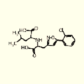 CC(C)CC(NC(Cc1cc(-c2ccccc2Cl)on1)C(=O)O)C(=O)O